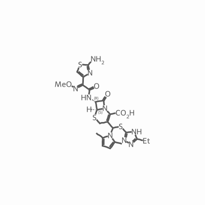 CCc1nnc(SC(C2=C(C(=O)O)N3C(=O)[C@@H](NC(=O)C(=NOC)c4csc(N)n4)[C@@H]3SC2)n2c(C)ccc2C)[nH]1